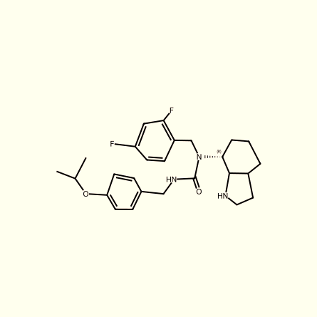 CC(C)Oc1ccc(CNC(=O)N(Cc2ccc(F)cc2F)[C@@H]2CCCC3CCNC32)cc1